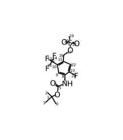 CC(C)(C)OC(=O)Nc1cc(C(F)(F)F)c(COS(C)(=O)=O)cc1F